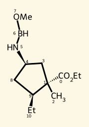 CCOC(=O)[C@@]1(C)C[C@H](NBOC)C[C@@H]1CC